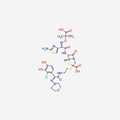 CC(C)(O/N=C(\C(=O)N[C@@H]1C(=O)N2C[C@](SCCNC(=O)/C(=N\N3CCOCC3)c3ccc(O)c(O)c3Cl)(C(=O)O)S[C@H]12)c1csc(N)n1)C(=O)O